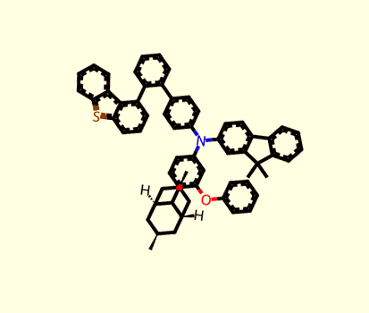 CC1(C)c2ccccc2-c2ccc(N(c3ccc(-c4ccccc4-c4cccc5sc6ccccc6c45)cc3)c3ccc(C4[C@H]5C[C@H](C)C[C@H]4C[C@H](C)C5)c(Oc4ccccc4)c3)cc21